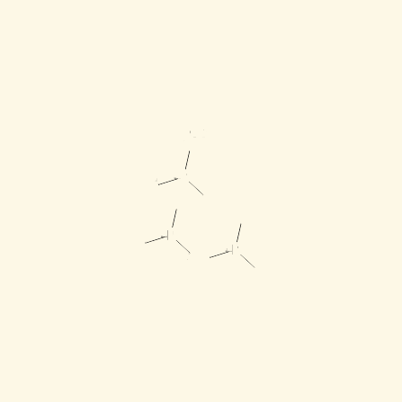 CP(C)C.CP(C)C.CP(C)C.[Co]